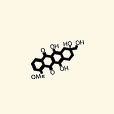 COc1cccc2c1C(=O)c1c(O)c3c(c(O)c1C2=O)C[C@](O)(CO)CC3